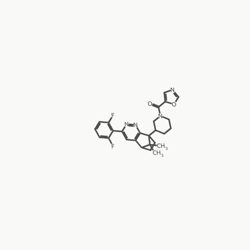 CC1(C)C2CCC1(C1CCCN(C(=O)c3cnco3)C1)c1nnc(-c3c(F)cccc3F)cc12